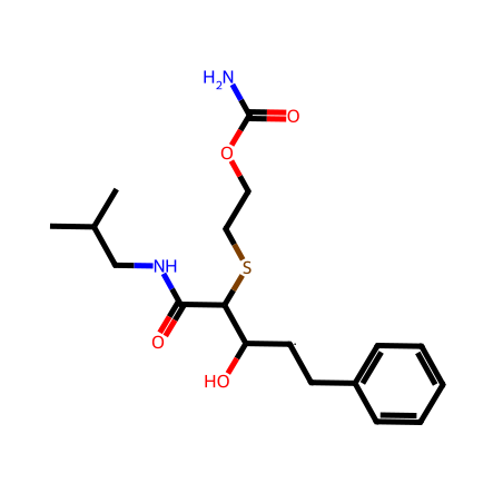 CC(C)CNC(=O)C(SCCOC(N)=O)C(O)[CH]Cc1ccccc1